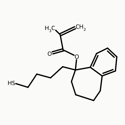 C=C(C)C(=O)OC1(CCCCS)CCCCc2ccccc21